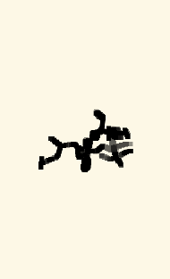 C=CC(=O)NC(C)(CCS(=O)(=O)OCC(C)CI)C(C)(C)C